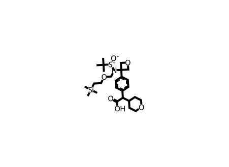 CC(C)(C)[S+]([O-])N(COCC[Si](C)(C)C)C1(c2ccc(C(C(=O)O)C3CCOCC3)cc2)COC1